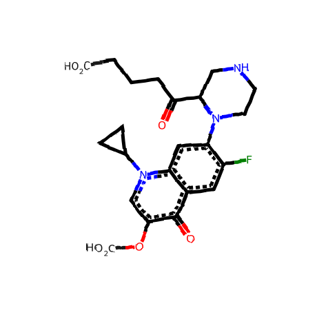 O=C(O)CCCC(=O)C1CNCCN1c1cc2c(cc1F)c(=O)c(OC(=O)O)cn2C1CC1